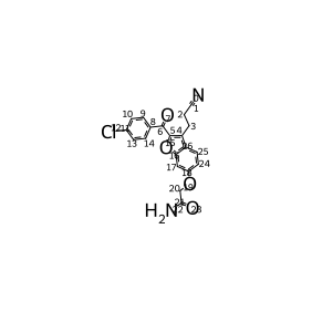 N#CCCc1c(C(=O)c2ccc(Cl)cc2)oc2cc(OCC(N)=O)ccc12